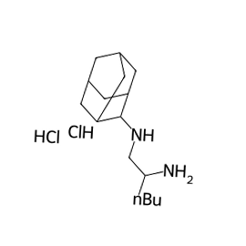 CCCCC(N)CNC1C2CC3CC(C2)CC1C3.Cl.Cl